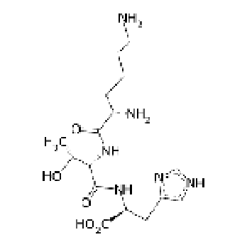 C[C@@H](O)[C@H](NC(=O)[C@@H](N)CCCCN)C(=O)N[C@@H](Cc1c[nH]cn1)C(=O)O